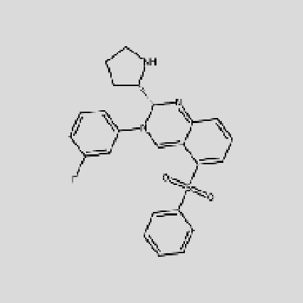 O=S(=O)(c1ccccc1)c1cccc2c1=CN(c1cccc(F)c1)[C@H](C1CCCN1)N=2